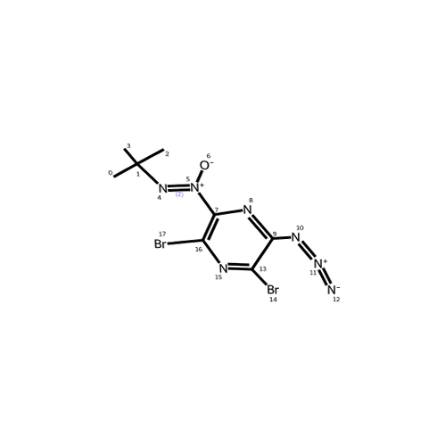 CC(C)(C)/N=[N+](\[O-])c1nc(N=[N+]=[N-])c(Br)nc1Br